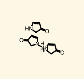 NN1C=CC(=O)C1.O=C1C=CNC1.O=C1C=CNC1